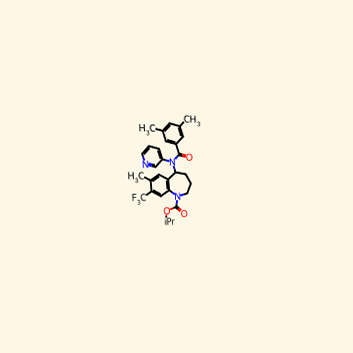 Cc1cc(C)cc(C(=O)N(c2cccnc2)C2CCCN(C(=O)OC(C)C)c3cc(C(F)(F)F)c(C)cc32)c1